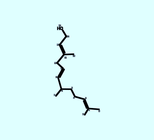 CC(C)=CCCC(C)/C=C/C/C(C)=C/CO